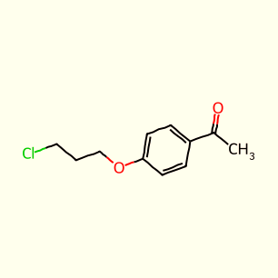 CC(=O)c1ccc(OCCCCl)cc1